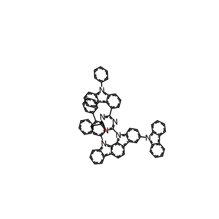 c1ccc(-c2ccc(-n3c4ccccc4c4ccc5c6cc(-n7c8ccccc8c8ccccc87)ccc6n(-c6nc(-c7ccccc7)nc(-c7cccc8c7c7ccccc7n8-c7ccccc7)n6)c5c43)cc2)cc1